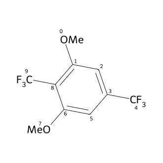 COc1cc(C(F)(F)F)cc(OC)c1C(F)(F)F